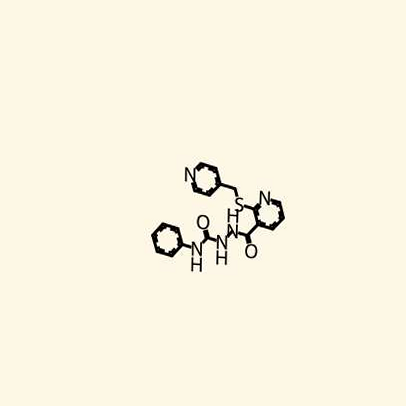 O=C(NNC(=O)c1cccnc1SCc1ccncc1)Nc1ccccc1